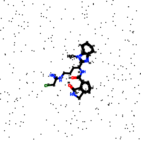 Cn1c(C(CCCNC(=N)CCl)NC(=O)c2cccc3c2C(=O)NC3)nc2ccccc21